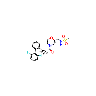 CS(=O)(=O)NC[C@@H]1CN(C(=O)[C@@H]2C[C@H]2c2ccccc2-c2c(F)cccc2F)CCO1